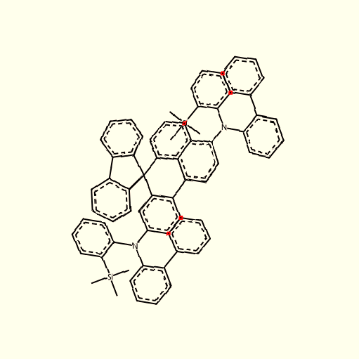 C[Si](C)(C)c1ccccc1N(c1ccc2c(c1)C1(c3ccccc3-c3ccccc31)c1cccc3c(N(c4ccccc4-c4ccccc4)c4ccccc4[Si](C)(C)C)ccc-2c13)c1ccccc1-c1ccccc1